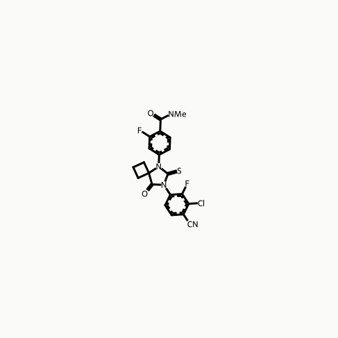 CNC(=O)c1ccc(N2C(=S)N(c3ccc(C#N)c(Cl)c3F)C(=O)C23CCC3)cc1F